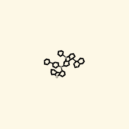 c1ccc(-c2ccc(N(c3ccc4c5c(-c6cccc7ccccc67)cccc5n(-c5ccccc5)c4c3)c3cccc4oc5ccccc5c34)cc2)cc1